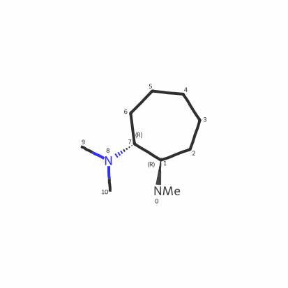 CN[C@@H]1CCCCC[C@H]1N(C)C